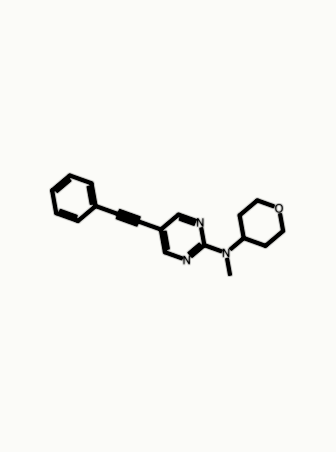 CN(c1ncc(C#Cc2ccccc2)cn1)C1CCOCC1